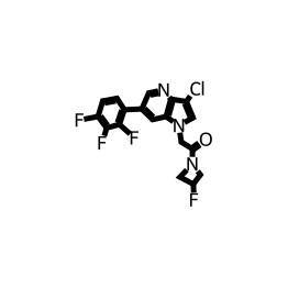 O=C(Cn1cc(Cl)c2ncc(-c3ccc(F)c(F)c3F)cc21)N1CC(F)C1